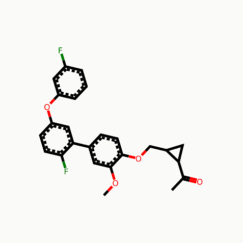 COc1cc(-c2cc(Oc3cccc(F)c3)ccc2F)ccc1OCC1CC1C(C)=O